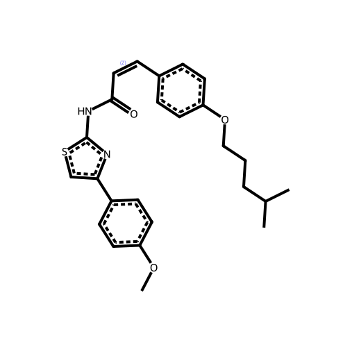 COc1ccc(-c2csc(NC(=O)/C=C\c3ccc(OCCCC(C)C)cc3)n2)cc1